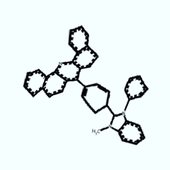 CN1c2ccccc2N(c2ccccc2)C1C1C=CC(c2c3ccc4ccccc4c3nc3c2ccc2ccccc23)=CC1